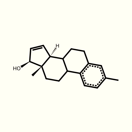 Cc1ccc2c(c1)CCC1C2CC[C@]2(C)[C@@H](O)C=C[C@@H]12